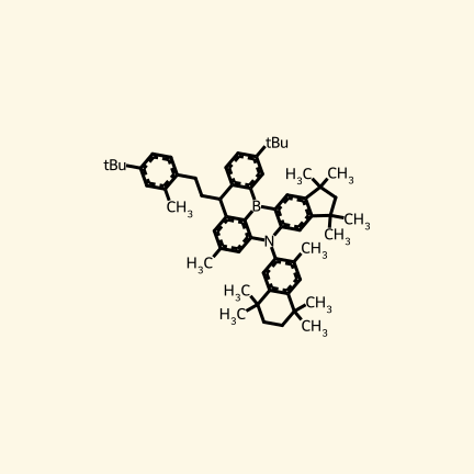 Cc1cc2c3c(c1)N(c1cc4c(cc1C)C(C)(C)CCC4(C)C)c1cc4c(cc1B3c1cc(C(C)(C)C)ccc1C2CCc1ccc(C(C)(C)C)cc1C)C(C)(C)CC4(C)C